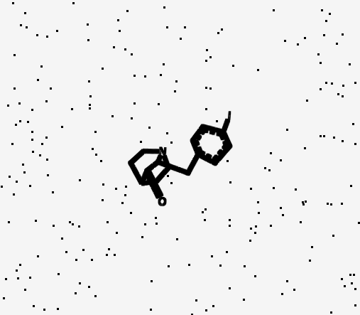 O=C1C2CCN(CC2)C1Cc1ccc(I)cc1